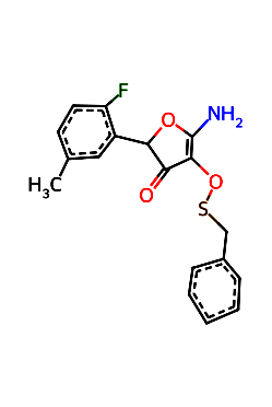 Cc1ccc(F)c(C2OC(N)=C(OSCc3ccccc3)C2=O)c1